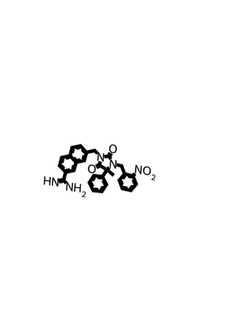 CC1(c2ccccc2)C(=O)N(Cc2ccc3ccc(C(=N)N)cc3c2)C(=O)N1Cc1ccccc1[N+](=O)[O-]